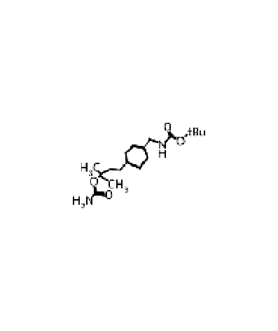 CC(C)(C)OC(=O)NC[C@H]1CC[C@@H](CCC(C)(C)OC(N)=O)CC1